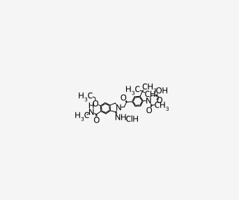 CCOc1cc2c(cc1C(=O)NC)C(=N)N(CC(=O)c1ccc(N(CC(=O)O)C(C)=O)c(C(C)(C)C)c1)C2.Cl